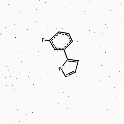 Fc1cccc(C2=CC=C[N]2)c1